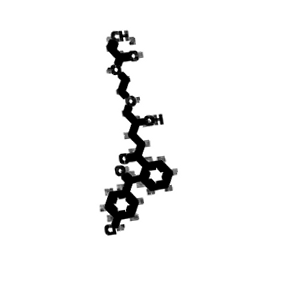 C=CC(=O)OCCOCC(O)CCC(=O)c1ccccc1C(=O)c1ccc(Cl)cc1